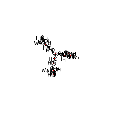 COC(OCCCCC(=O)NCCCNC(=O)CCOCC(C)(COCCC(=O)NCCCNC(=O)CCCCOC(OC)C(O)C(O)C(O)C(C)COP(=O)(O)O)COCCC(=O)NCCCNC(=O)CCCCOC(OC)C(O)C(O)C(O)C(C)COP(=O)(O)O)C(O)C(O)C(O)C(C)COP(=O)(O)O